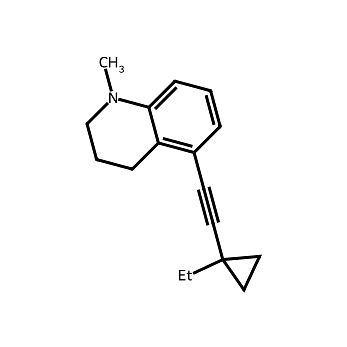 CCC1(C#Cc2cccc3c2CCCN3C)CC1